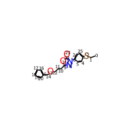 CCSc1ccc(-n2nc(CCCOCc3ccccc3)oc2=O)cc1